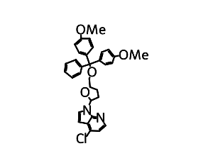 COc1ccc(C(OCC2CCC(n3ccc4c(Cl)ccnc43)O2)(c2ccccc2)c2ccc(OC)cc2)cc1